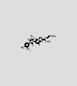 CCC(/N=c1/c(F)cc(N2C(=S)N(c3ccc(C#N)c(C(F)(F)F)c3)C(=O)C2(C)C)cn1C)=C(/C=O)OCCOC